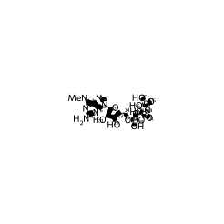 CNc1nc(N)nc2c1ncn2[C@@H]1O[C@H](COP(=O)(O)OP(=O)(O)OP(=O)(O)O)C(O)[C@@H]1O